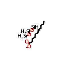 CCCCCCCCCCC(=O)OC.[SiH3]O[SiH2]O[SiH3]